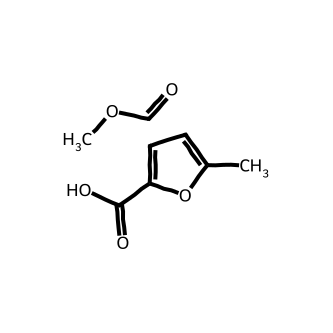 COC=O.Cc1ccc(C(=O)O)o1